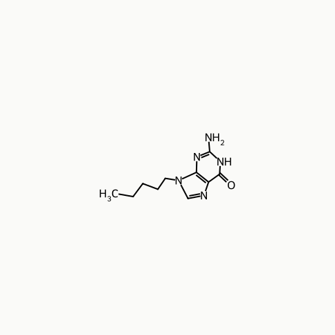 CCCCCn1cnc2c(=O)[nH]c(N)nc21